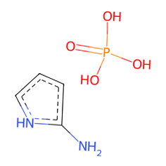 Nc1ccc[nH]1.O=P(O)(O)O